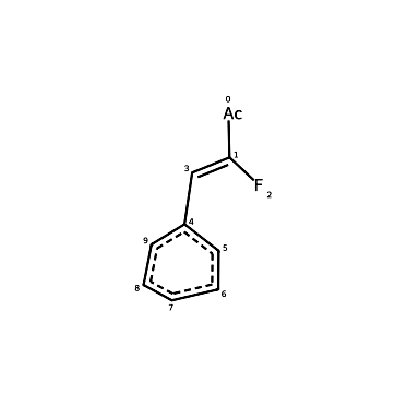 CC(=O)C(F)=Cc1ccccc1